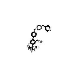 OCc1cc(C(O)(C(F)(F)F)C(F)(F)F)ccc1-c1ccc(CN2CCN(Cc3ccncc3)CC2)cc1